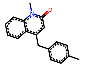 Cc1ccc(Cc2cc(=O)n(C)c3ccccc23)cc1